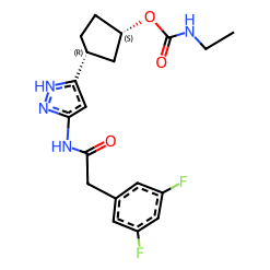 CCNC(=O)O[C@H]1CC[C@@H](c2cc(NC(=O)Cc3cc(F)cc(F)c3)n[nH]2)C1